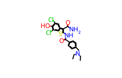 CCN(CC)Cc1ccc(C(=O)Nc2sc3c(Cl)c(O)c(Cl)cc3c2C(N)=O)cc1